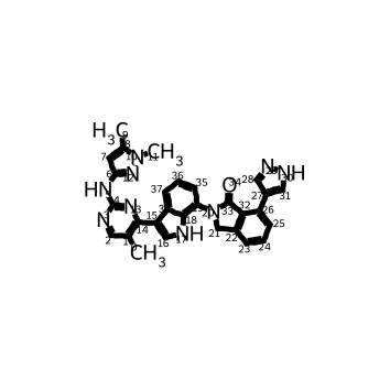 Cc1cnc(Nc2cc(C)n(C)n2)nc1-c1c[nH]c2c(N3Cc4cccc(-c5cn[nH]c5)c4C3=O)cccc12